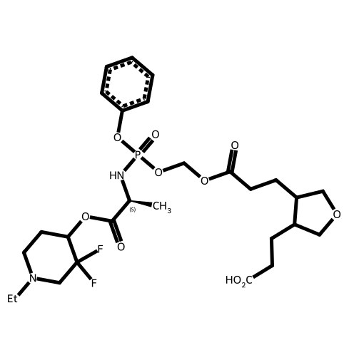 CCN1CCC(OC(=O)[C@H](C)NP(=O)(OCOC(=O)CCC2COCC2CCC(=O)O)Oc2ccccc2)C(F)(F)C1